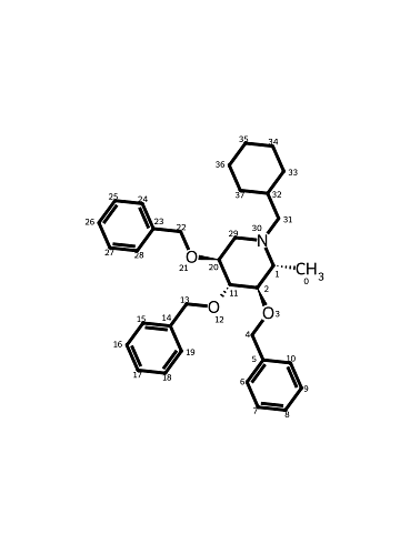 C[C@@H]1[C@@H](OCc2ccccc2)[C@H](OCc2ccccc2)[C@@H](OCc2ccccc2)CN1CC1CCCCC1